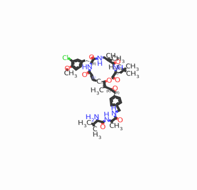 COc1ccc(C[C@H]2NC(=O)/C=C/C[C@@H]([C@H](C)[C@H]3O[C@@H]3c3ccc(CNC(=O)C(C)NC(=O)C(N)C(C)C)cc3)OC(=O)[C@H](CC(C)(C)C)NC(=O)C(C)(C)CNC2=O)cc1Cl